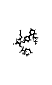 CCCCc1nc(Cl)c(COC(=O)[C@H]2CCCCCN2)n1Cc1ccc(-c2ccccc2-c2nn[nH]n2)cc1